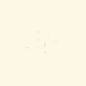 COC[C@@H](OC)[C@@H](O)[C@H](O)[C@@H](COC)OC